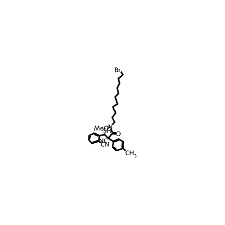 CON(CCCCCCCCCCCBr)C(=O)C(C#N)(c1ccc(C)cc1)C(S)c1ccccc1C#N